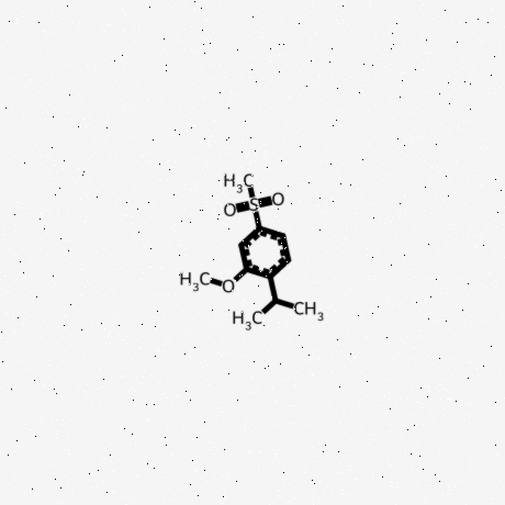 COc1cc(S(C)(=O)=O)ccc1C(C)C